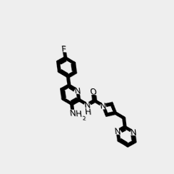 Nc1ccc(-c2ccc(F)cc2)nc1NC(=O)N1CC(Cc2ncccn2)C1